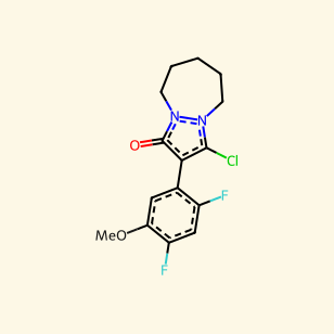 COc1cc(-c2c(Cl)n3n(c2=O)CCCCC3)c(F)cc1F